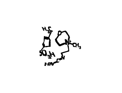 C[N+]1(CCN=C=N)CCOCC1.Cc1ccc(S(=O)(=O)O)cc1